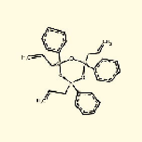 C=CC[Si]1(c2ccccc2)O[Si](CC=C)(c2ccccc2)O[Si](CC=C)(c2ccccc2)O1